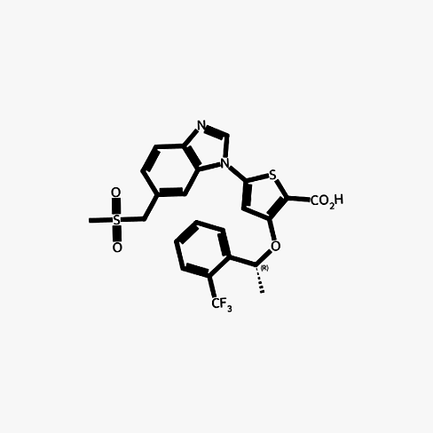 C[C@@H](Oc1cc(-n2cnc3ccc(CS(C)(=O)=O)cc32)sc1C(=O)O)c1ccccc1C(F)(F)F